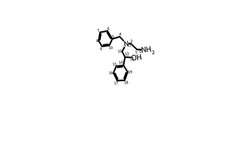 NCCN(Cc1ccccc1)CC(O)c1ccccc1